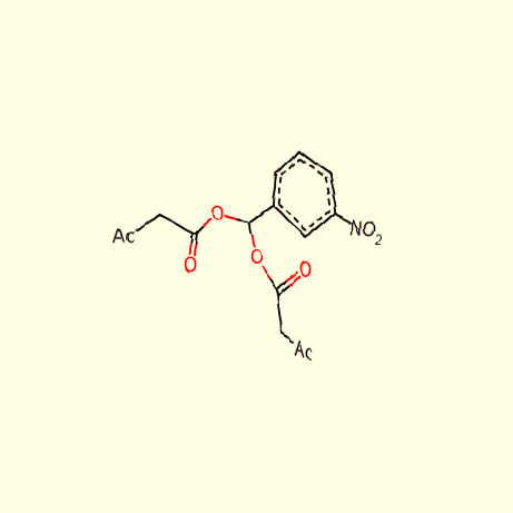 CC(=O)CC(=O)OC(OC(=O)CC(C)=O)c1cccc([N+](=O)[O-])c1